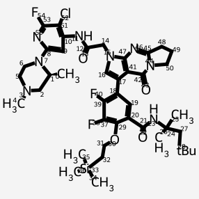 C[C@H]1CN(C)CCN1c1cc(NC(=O)Cn2cc(-c3cc(C(=O)NC(C)(C)CC(C)(C)C)c(OCC[Si](C)(C)C)c(F)c3F)c3c(=O)n4c(nc32)CCC4)c(Cl)c(F)n1